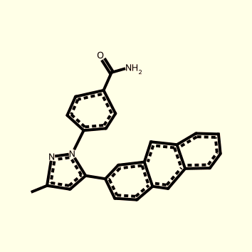 Cc1cc(-c2ccc3cc4ccccc4cc3c2)n(-c2ccc(C(N)=O)cc2)n1